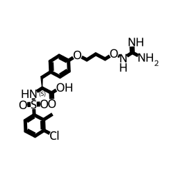 Cc1c(Cl)cccc1S(=O)(=O)N[C@@H](Cc1ccc(OCCCONC(=N)N)cc1)C(=O)O